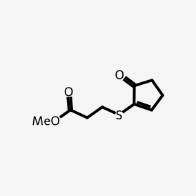 COC(=O)CCSC1=CCCC1=O